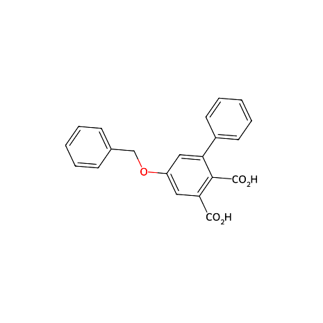 O=C(O)c1cc(OCc2ccccc2)cc(-c2ccccc2)c1C(=O)O